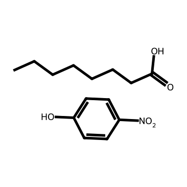 CCCCCCCC(=O)O.O=[N+]([O-])c1ccc(O)cc1